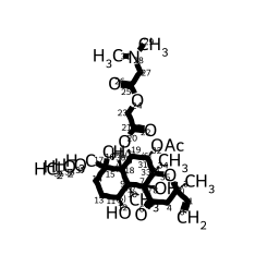 C=C[C@@]1(C)CC(=O)[C@]2(O)[C@@]3(C)[C@@H](O)CCC(C)(C)[C@@H]3[C@H](OC(=O)COC(=O)CN(C)C)[C@H](OC(C)=O)[C@@]2(C)O1.Cl.O.O